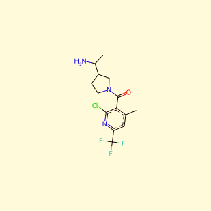 Cc1cc(C(F)(F)F)nc(Cl)c1C(=O)N1CCC(C(C)N)C1